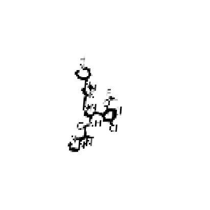 Cl.O=C(Nc1cn(Cc2cn(C3CCNCC3)nn2)nc1-c1cc(Cl)ccc1OC(F)F)c1cnn2cccnc12